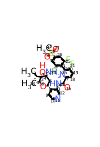 CC[C@]1(O)[C@H](N)C[C@H](c2ccncc2NC(=O)c2ccc(F)c(-c3c(F)cc(S(C)(=O)=O)cc3F)n2)O[C@@H]1C